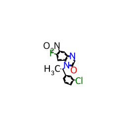 C[C@@H](c1cccc(Cl)c1)n1c(=O)cnc2cc([N+](=O)[O-])c(F)cc21